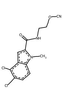 Cn1c(C(=O)NCCOC#N)cc2c(Cl)c(Cl)ccc21